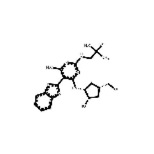 Cc1nc(NCC(C)(C)F)nc(N[C@@H]2C[C@H](CO)C[C@H]2O)c1-c1nc2ccccc2s1